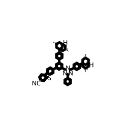 C[C@@H]1C[C@@H]2C[C@H](C)CC(c3ccc(-c4cc(-c5ccc6c(c5)sc5cc(C#N)ccc56)cc(-c5nc(-c6ccccc6)nc(-c6ccc(C78C[C@H](C)C[C@H](C[C@H](C)C7)C8)cc6)n5)c4)cc3)(C1)C2